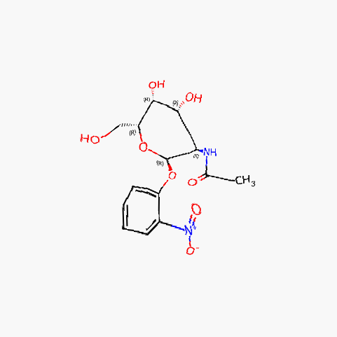 CC(=O)N[C@H]1[C@@H](Oc2ccccc2[N+](=O)[O-])O[C@H](CO)[C@H](O)[C@@H]1O